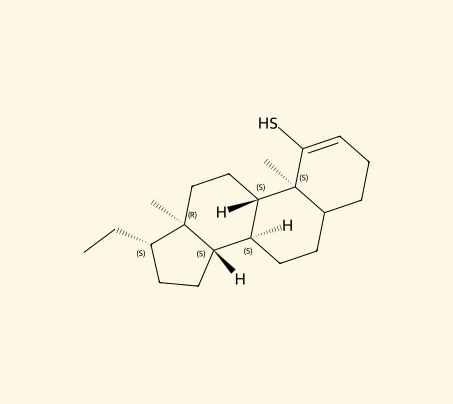 CC[C@H]1CC[C@H]2[C@@H]3CCC4CCC=C(S)[C@]4(C)[C@H]3CC[C@]12C